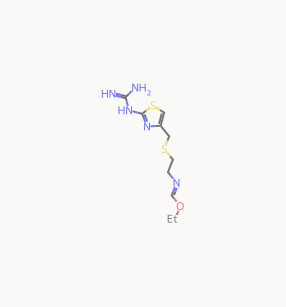 CCOC=NCCSCc1csc(NC(=N)N)n1